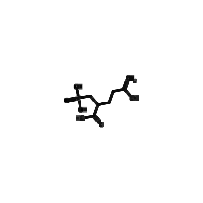 C=C(O)CCC(CP(=O)(O)O)C(=O)O